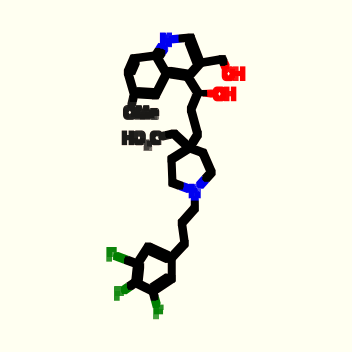 COc1ccc2ncc(CO)c([C@@H](O)CCC3(CC(=O)O)CCN(CCCc4cc(F)c(F)c(F)c4)CC3)c2c1